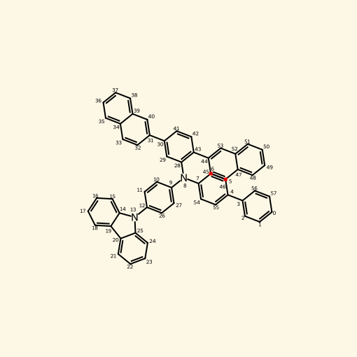 c1ccc(-c2ccc(N(c3ccc(-n4c5ccccc5c5ccccc54)cc3)c3cc(-c4ccc5ccccc5c4)ccc3-c3ccc4ccccc4c3)cc2)cc1